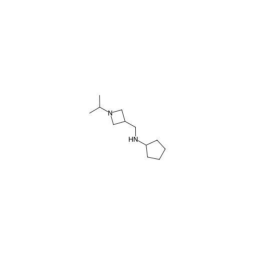 CC(C)N1CC(CNC2CCCC2)C1